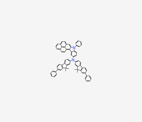 CC1(C)c2cc(-c3ccccc3)ccc2-c2ccc(N(c3ccc4c(c3)C(C)(C)c3cc(-c5ccccc5)ccc3-4)c3ccc4c(c3)c3c5ccc6cccc7ccc(cc3n4-c3ccccc3)c5c76)cc21